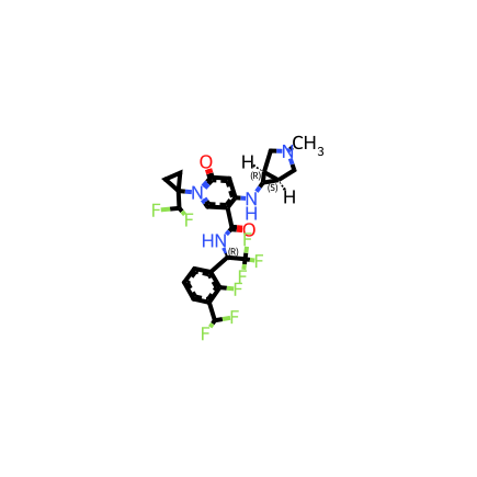 CN1C[C@@H]2C(Nc3cc(=O)n(C4(C(F)F)CC4)cc3C(=O)N[C@H](c3cccc(C(F)F)c3F)C(F)(F)F)[C@@H]2C1